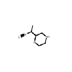 [C-]#[N+]C(C)C1CNCCO1